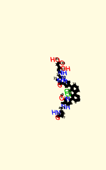 COc1nc(-c2cccc(-c3cccc(-c4cc5c(=O)n(C)c(CNCC(O)CC(=O)O)nn5c4)c3Cl)c2Cl)ccc1CNC[C@@H]1CCC(=O)N1